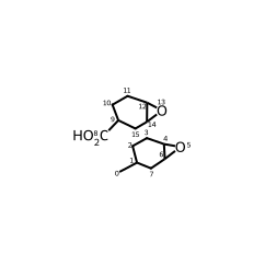 CC1CCC2OC2C1.O=C(O)C1CCC2OC2C1